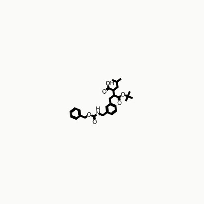 CC(C)CC(C(=O)O)C(Cc1cccc(CNC(=O)OCc2ccccc2)c1)C(=O)OC(C)(C)C